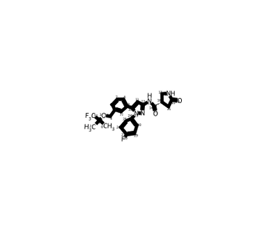 CC(C)(OCc1cccc(-c2cc(NC(=O)[C@@H]3CNC(=O)C3)nn2-c2ccc(F)cc2)c1)C(F)(F)F